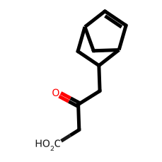 O=C(O)CC(=O)CC1CC2C=CC1C2